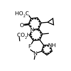 CC(=O)O.Cc1c(-c2[nH]ccc2N(C)C)c(F)cn2c(=O)c(C(=O)O)cc(C3CC3)c12